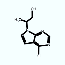 CC(CO)n1ccc2c(Cl)ncnc21